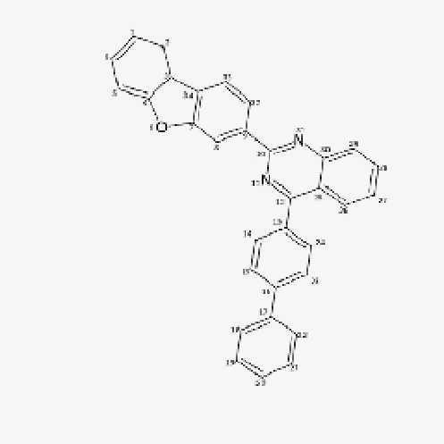 C1=CCC2C(=C1)Oc1cc(-c3nc(-c4ccc(-c5ccccc5)cc4)c4ccccc4n3)ccc12